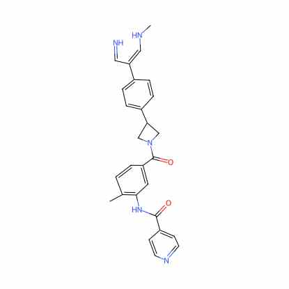 CN/C=C(\C=N)c1ccc(C2CN(C(=O)c3ccc(C)c(NC(=O)c4ccncc4)c3)C2)cc1